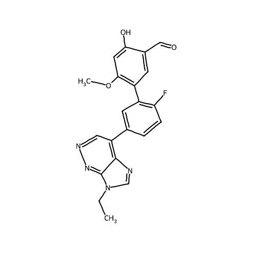 CCn1cnc2c(-c3ccc(F)c(-c4cc(C=O)c(O)cc4OC)c3)cnnc21